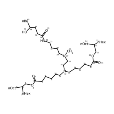 CCCCCCCCC(CCCCCC)COC(=O)CCCCCN(CCCCCC(=O)OCC(CCCCCC)CCCCCCCC)CCN(C)CCCCNC(=O)CCC(O)CCCC